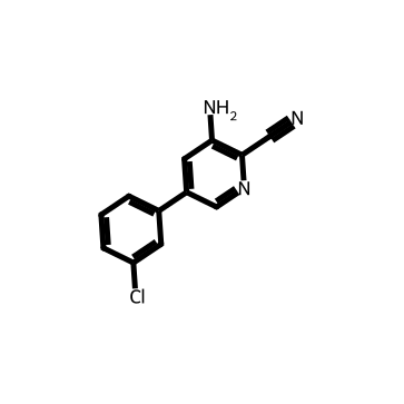 N#Cc1ncc(-c2cccc(Cl)c2)cc1N